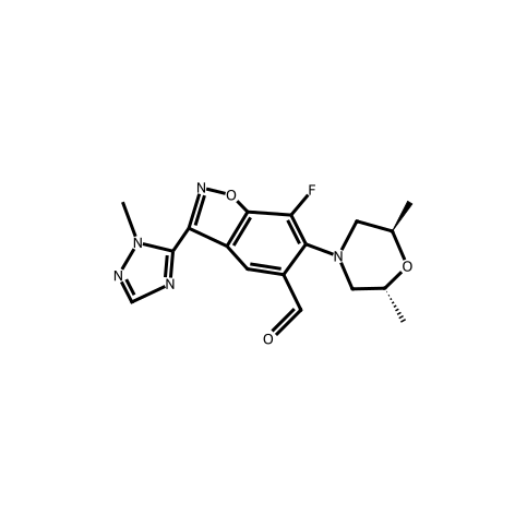 C[C@@H]1CN(c2c(C=O)cc3c(-c4ncnn4C)noc3c2F)C[C@@H](C)O1